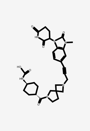 Cn1c(=O)n(C2CCC(=O)NC2=O)c2ccc(C#CCN3CC4(CCN(C(=O)[C@H]5CC[C@H](NC(=O)O)CC5)C4)C3)cc21